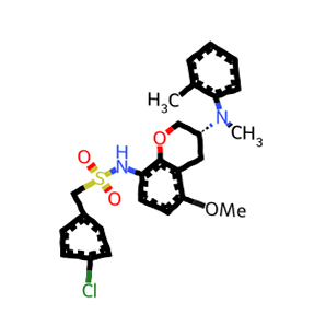 COc1ccc(NS(=O)(=O)Cc2ccc(Cl)cc2)c2c1C[C@@H](N(C)c1ccccc1C)CO2